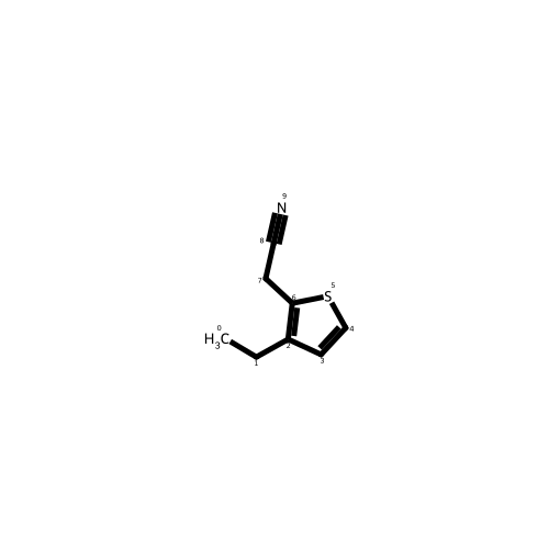 CCc1ccsc1CC#N